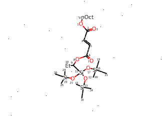 CCCCCCCCOC(=O)C=CC(=O)OC(CC)[Si](O[Si](C)(C)C)(O[Si](C)(C)C)O[Si](C)(C)C